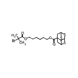 CC(C)(Br)C(=O)OCCCCCCOC(=O)C12CC3SC(C1)SC(C2)S3